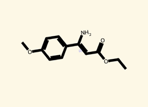 CCOC(=O)/C=C(\N)c1ccc(OC)cc1